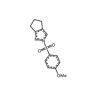 COc1ccc(S(=O)(=O)n2cc3c(n2)CCC3)cc1